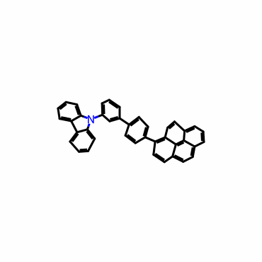 c1cc(-c2ccc(-c3ccc4ccc5cccc6ccc3c4c56)cc2)cc(-n2c3ccccc3c3ccccc32)c1